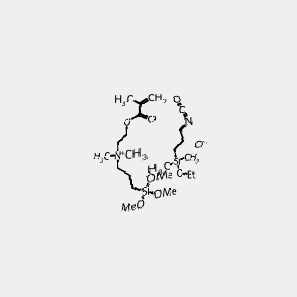 C=C(C)C(=O)OCC[N+](C)(C)CCC[Si](OC)(OC)OC.CCO[Si](C)(C)CCCN=C=O.[Cl-]